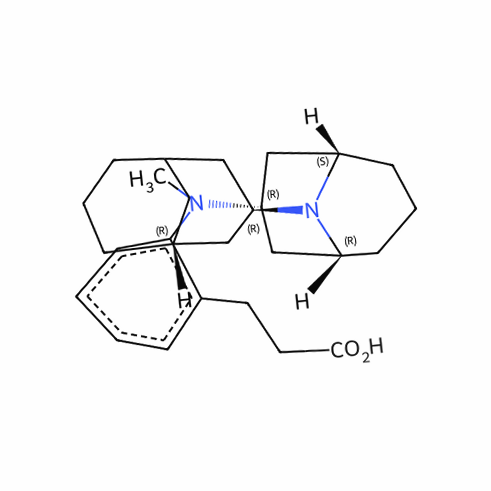 CN(c1ccccc1CCC(=O)O)[C@H]1C[C@H]2CCC[C@@H](C1)N2[C@@H]1CC2CCC[C@H](C2)C1